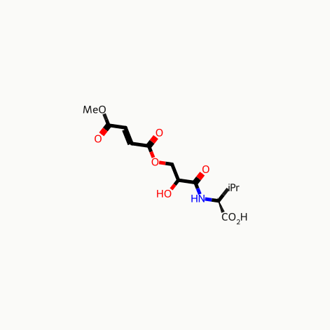 COC(=O)/C=C/C(=O)OCC(O)C(=O)N[C@H](C(=O)O)C(C)C